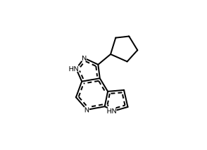 c1cc2c(ncc3[nH]nc(C4CCCC4)c32)[nH]1